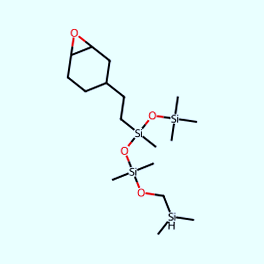 C[SiH](C)CO[Si](C)(C)O[Si](C)(CCC1CCC2OC2C1)O[Si](C)(C)C